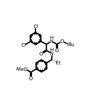 CC[C@@H](NC(=O)C(NC(=O)OC(C)(C)C)c1cc(Cl)cc(Cl)c1)c1ccc(C(=O)OC)cc1